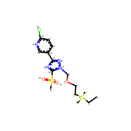 CCS(C)(C)CCOCn1nc(-c2ccc(Cl)nc2)nc1S(C)(=O)=O